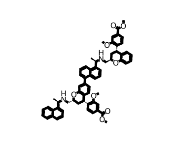 COC(=O)c1ccc([C@H]2C[C@H](CN[C@H](C)c3cccc4c(-c5ccc6c(c5)O[C@@H](CN[C@H](C)c5cccc7ccccc57)C[C@H]6c5ccc(C(=O)OC)cc5OC)cccc34)Oc3ccccc32)c(OC)c1